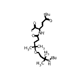 CC(C)(C)NC(C)(C)CCOC(C)(C)CCC(=O)NC(CCC(=O)C(C)(C)C)C(=O)I